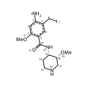 COc1cc(N)c(CI)cc1C(=O)N[C@H]1CCNC[C@H]1OC